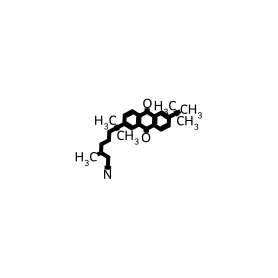 CC(CC#N)CCCC(C)(C)c1ccc2c(c1)C(=O)c1ccc(C(C)(C)C)cc1C2=O